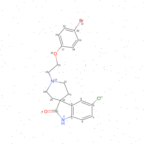 O=C1Nc2ccc(Cl)cc2C12CCN(CCOc1ccc(Br)cc1)CC2